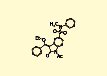 CCOC(=C1C(=O)N(C(C)=O)c2ccc(S(=O)(=O)N(C)c3ccccc3)cc21)c1ccccc1